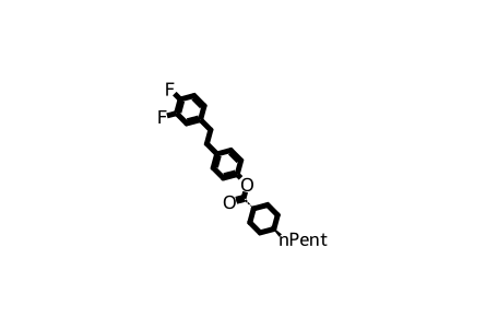 CCCCC[C@H]1CC[C@H](C(=O)Oc2ccc(CCc3ccc(F)c(F)c3)cc2)CC1